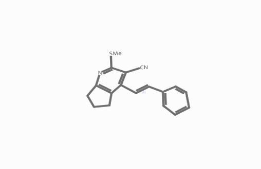 CSc1nc2c(c(/C=C/c3ccccc3)c1C#N)CCC2